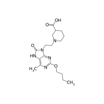 CCCCOc1nc(C)c2[nH]c(=O)n(CCN3CCCC(C(=O)O)C3)c2n1